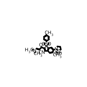 Cc1ccc(S(=O)(=O)n2c(C(=O)/C(C#N)=C/N(C)C)cc3cc(C)c(N4CCCS4(=O)=O)cc32)cc1